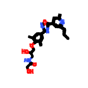 CCCc1cc(-c2nc(-c3cc(C)c(OCC(O)CNC(=O)CO)c(C)c3)no2)cc(C)n1